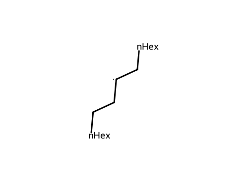 [CH2]CCCCCC[CH]CCCCCCCC